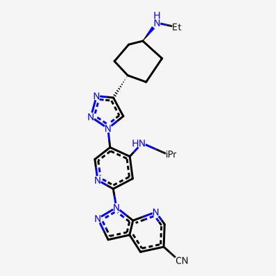 CCN[C@H]1CC[C@H](c2cn(-c3cnc(-n4ncc5cc(C#N)cnc54)cc3NC(C)C)nn2)CC1